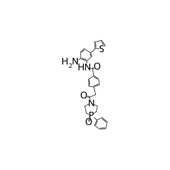 Nc1ccc(-c2cccs2)cc1NC(=O)c1ccc(CC(=O)N2CCP(=O)(c3ccccc3)CC2)cc1